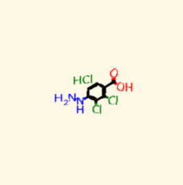 Cl.NNc1ccc(C(=O)O)c(Cl)c1Cl